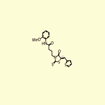 COc1ccccc1NC(=O)CCCN1C(=O)/C(=C/c2cccs2)SC1=S